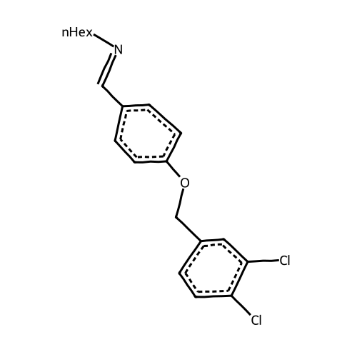 CCCCCCN=Cc1ccc(OCc2ccc(Cl)c(Cl)c2)cc1